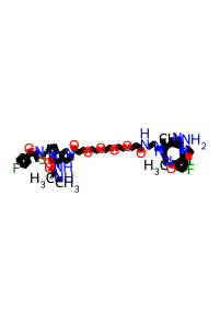 CN[C@H](C)C(=O)N[C@@H](C(=O)N1CCC[C@@H]1C1=NC(C(=O)c2ccc(F)cc2)CS1)C1CCN(C(=O)CCOCCOCCOCCOCCC(=O)NCCn2nc3c(c2C)-c2cnc(N)c(c2)N2CCC[C@@H]2c2cc(F)ccc2C(=O)N(C)C3)CC1